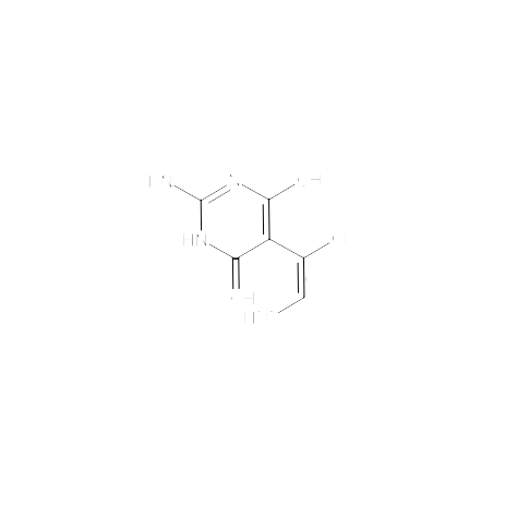 C=C1NC(N)=NC(C)=C1/C(C)=C\C